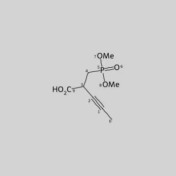 CC#CC(CP(=O)(OC)OC)C(=O)O